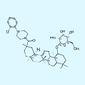 CC1(C(=O)N2CCN(c3ccccc3Cl)CC2)CC[C@]2(C)CC[C@]3(C)C(=CCC4[C@@]5(C)C(O[C@@H]6O[C@H](CO)[C@@H](O)[C@@H](O)[C@H]6O)CCC(C)(C)C5CC[C@]43C)[C@@H]2C1